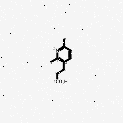 Cc1ccc(CCC(=O)O)c(C)n1